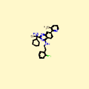 CCC(N)(c1nc(NCCc2ccccc2Cl)c2ccc(-c3ncccc3C(F)(F)F)cc2n1)C1CCCCC1